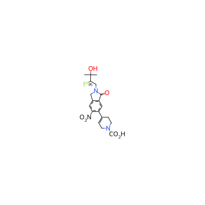 CC(C)(O)[C@H](F)CN1Cc2cc([N+](=O)[O-])c(C3=CCN(C(=O)O)CC3)cc2C1=O